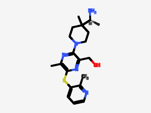 Cc1nc(N2CCC(C)([C@@H](C)N)CC2)c(CO)nc1Sc1cccnc1C(F)(F)F